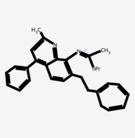 CCC/C(C)=N\c1c(CCC2=CC=CC=CC2)ccc2c(-c3ccccc3)cc(C)nc12